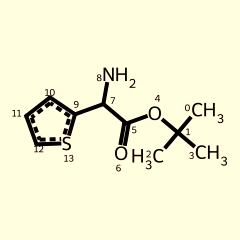 CC(C)(C)OC(=O)C(N)c1cccs1